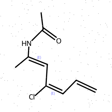 C=C/C=C(Cl)\C=C(/C)NC(C)=O